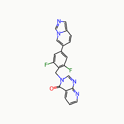 O=c1c2cccnc2ncn1Cc1c(F)cc(-c2ccc3cncn3c2)cc1F